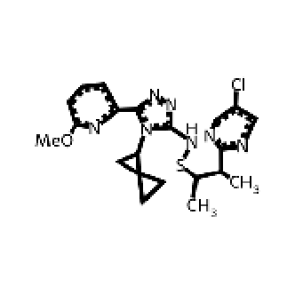 COc1cccc(-c2nnc(NSC(C)C(C)c3ncc(Cl)cn3)n2C2CC23CC3)n1